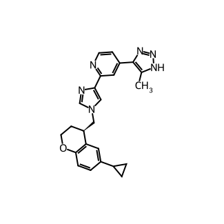 Cc1[nH]nnc1-c1ccnc(-c2cn(C[C@@H]3CCOc4ccc(C5CC5)cc43)cn2)c1